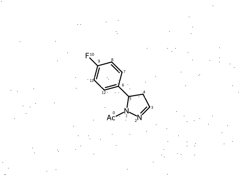 CC(=O)N1N=CCC1c1ccc(F)cc1